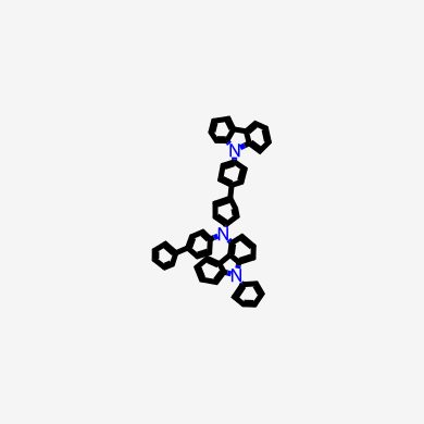 c1ccc(-c2ccc(N(c3ccc(-c4ccc(-n5c6ccccc6c6ccccc65)cc4)cc3)c3cccc4c3c3ccccc3n4-c3ccccc3)cc2)cc1